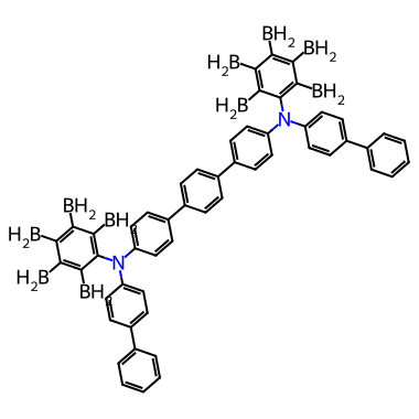 Bc1c(B)c(B)c(N(c2ccc(-c3ccccc3)cc2)c2ccc(-c3ccc(-c4ccc(N(c5ccc(-c6ccccc6)cc5)c5c(B)c(B)c(B)c(B)c5B)cc4)cc3)cc2)c(B)c1B